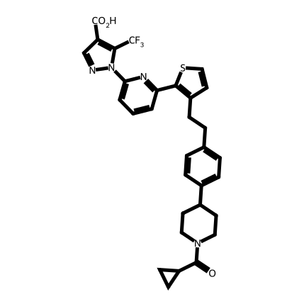 O=C(O)c1cnn(-c2cccc(-c3sccc3CCc3ccc(C4CCN(C(=O)C5CC5)CC4)cc3)n2)c1C(F)(F)F